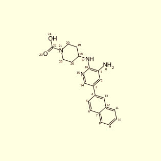 Nc1cc(-c2ccc3ccccc3c2)cnc1NC1CCN(C(=O)O)CC1